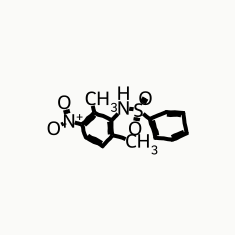 Cc1ccc([N+](=O)[O-])c(C)c1NS(=O)(=O)c1ccccc1